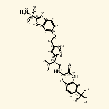 CC(C)[C@H](CN[C@@H](Cc1ccc(C(F)(F)F)cc1)C(=O)O)n1cc(COc2ccc3nc(S(N)(=O)=O)sc3c2)nn1